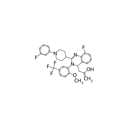 C=C(O)CC1c2cccc(F)c2N=C(C2CCN(c3cccc(F)c3)CC2)N1c1cc(C(F)(F)F)ccc1OC